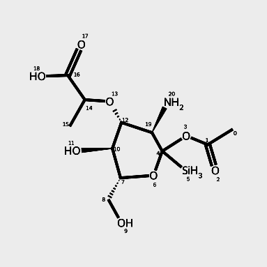 CC(=O)OC1([SiH3])O[C@H](CO)[C@@H](O)[C@H](OC(C)C(=O)O)[C@H]1N